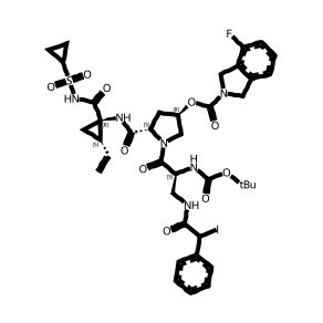 C=C[C@@H]1C[C@]1(NC(=O)[C@@H]1C[C@@H](OC(=O)N2Cc3cccc(F)c3C2)CN1C(=O)[C@H](CNC(=O)C(I)c1ccccc1)NC(=O)OC(C)(C)C)C(=O)NS(=O)(=O)C1CC1